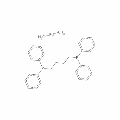 [CH3][Pd][CH3].c1ccc(P(CCCCP(c2ccccc2)c2ccccc2)c2ccccc2)cc1